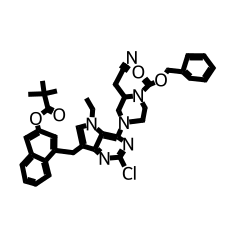 CCn1cc(Cc2cc(OC(=O)C(C)(C)C)cc3ccccc23)c2nc(Cl)nc(N3CCN(C(=O)OCc4ccccc4)C(CC#N)C3)c21